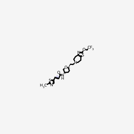 Cc1ncc(/C=C/C(=O)N[C@H]2CC[C@H](CCN3CCc4nc(OCC(F)(F)F)sc4CC3)OC2)s1